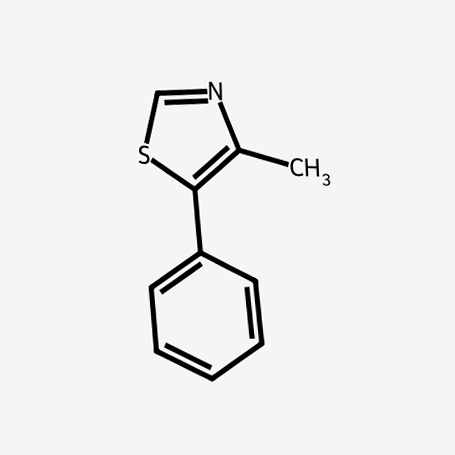 Cc1ncsc1-c1ccccc1